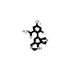 NC(=O)c1cc(C(F)(F)F)cc(F)c1-c1cc2cnc[nH]c2c2cncc12